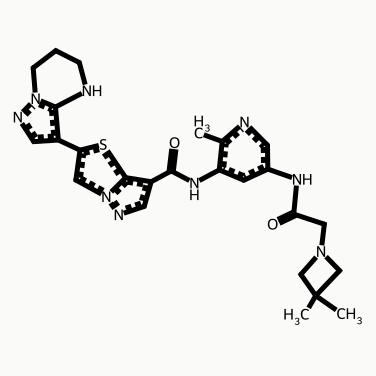 Cc1ncc(NC(=O)CN2CC(C)(C)C2)cc1NC(=O)c1cnn2cc(-c3cnn4c3NCCC4)sc12